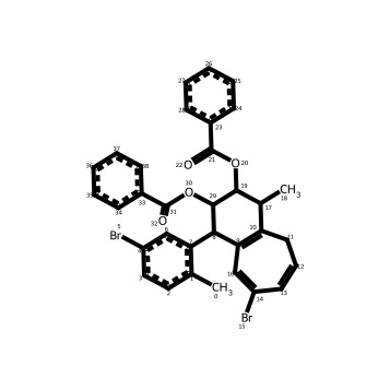 Cc1ccc(Br)cc1C1C2=C(CC=CC(Br)=C2)C(C)C(OC(=O)c2ccccc2)C1OC(=O)c1ccccc1